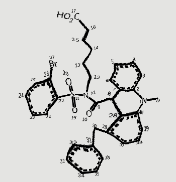 CN1c2ccccc2C(C(=O)N(CCCCCC(=O)O)S(=O)(=O)c2ccccc2Br)c2c(Cc3ccccc3)cccc21